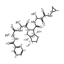 CCCC(NC(=O)C1[C@H]2CC[C@H](F)[C@H]2CN1C(=O)C(NC(=O)[C@H](NC(=O)c1cnccn1)C(C)C)C(C)C)C(=O)C(=O)NC1CC1